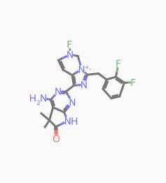 CC1(C)C(=O)Nc2nc(C3=C4C=CN(F)C[N+]4C(Cc4cccc(F)c4F)=N3)nc(N)c21